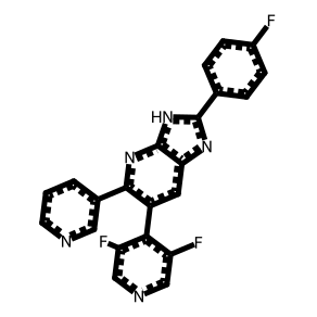 Fc1ccc(-c2nc3cc(-c4c(F)cncc4F)c(-c4cccnc4)nc3[nH]2)cc1